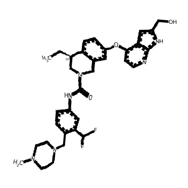 CC[C@@H]1CN(C(=O)Nc2ccc(CN3CCN(C)CC3)c(C(F)F)c2)Cc2cc(Oc3ccnc4[nH]c(CO)cc34)ccc21